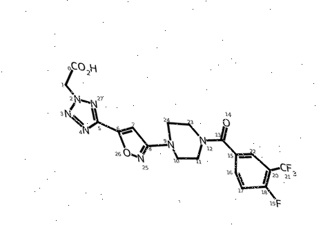 O=C(O)Cn1nnc(-c2cc(N3CCN(C(=O)c4ccc(F)c(C(F)(F)F)c4)CC3)no2)n1